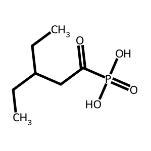 CCC(CC)CC(=O)P(=O)(O)O